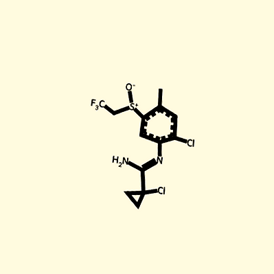 Cc1cc(Cl)c(/N=C(\N)C2(Cl)CC2)cc1[S+]([O-])CC(F)(F)F